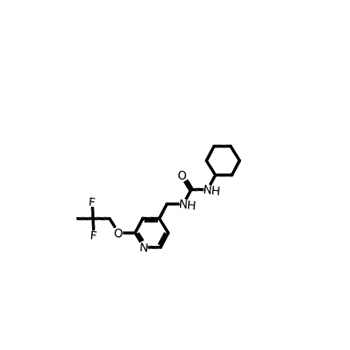 CC(F)(F)COc1cc(CNC(=O)NC2CCCCC2)ccn1